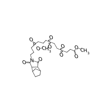 COC(=O)CCS(=O)(=O)CCS(=O)(=O)CCCP(=O)(CCCN1C(=O)C2C3CCC(C3)C2C1=O)OC